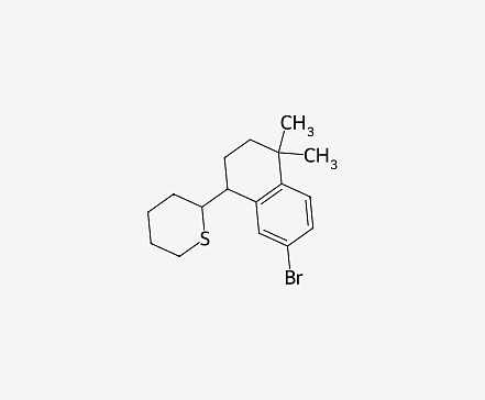 CC1(C)CCC(C2CCCCS2)c2cc(Br)ccc21